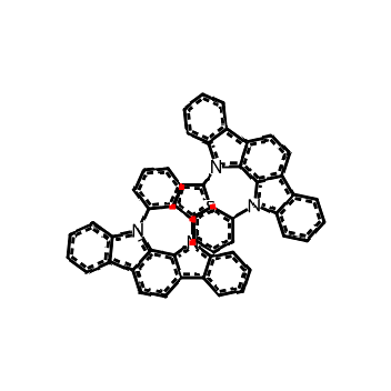 c1ccc(-n2c3ccccc3c3ccc4c5ccccc5n(-c5ccc(-n6c7ccccc7c7ccc8c9ccccc9n(-c9ccccc9)c8c76)s5)c4c32)cc1